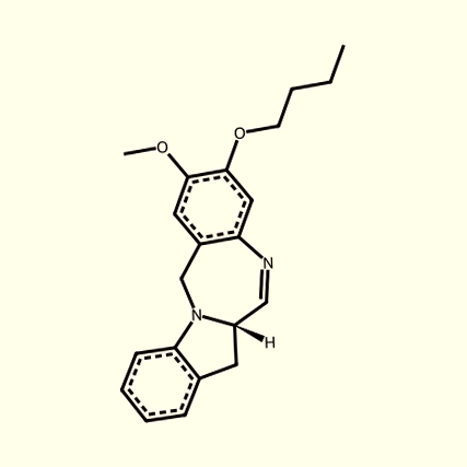 CCCCOc1cc2c(cc1OC)CN1c3ccccc3C[C@H]1C=N2